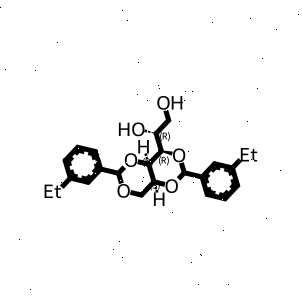 CCc1cccc(C2OC[C@@H]3OC(c4cccc(CC)c4)O[C@H]([C@H](O)CO)[C@@H]3O2)c1